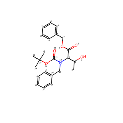 CC(O)C(C(=O)OCc1ccccc1)N(Cc1ccccc1)C(=O)OC(C)(C)C